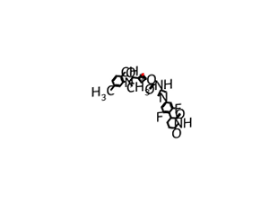 Cc1ccc(C)c(N(C)C(=O)C23CC(OC(=O)NC4CN(c5cc(F)c(C6CCC(=O)NC6=O)c(F)c5)C4)(C2)C3)c1